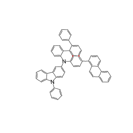 c1ccc(-c2ccccc2-c2ccccc2N(c2ccc(-c3cccc4c3ccc3ccccc34)cc2)c2ccc3c(c2)c2ccccc2n3-c2ccccc2)cc1